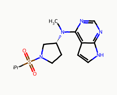 CC(C)S(=O)(=O)N1CC[C@@H](N(C)c2ncnc3[nH]ccc23)C1